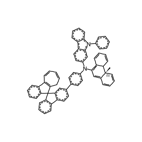 C[C@@]12C=CC=CC1=CC(N(c1ccc(-c3ccc4c(c3)C3(C5=C(C=CC=CC5)c5ccccc53)c3ccccc3-4)cc1)c1ccc3c4ccccc4n(-c4ccccc4)c3c1)=C1C=CC=CC12